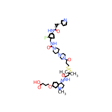 CN1CC/C(=N\NC(=O)CC(C)(C)SSCCC(=O)N2CCN(C3CCN(C(=O)NCc4ccc(NC(=O)[C@H]5C[C@@H]5c5cccnc5)cc4F)CC3)CC2)c2ccc(OCCCC(=O)O)cc21